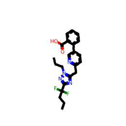 CCCn1nc(C(F)(F)CCC)nc1Cc1ccc(-c2ccccc2C(=O)O)cn1